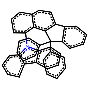 c1ccc(C2(c3ccccc3)c3ccccc3-c3ccc4cccc(-n5c6ccccc6c6ccccc65)c4c32)cc1